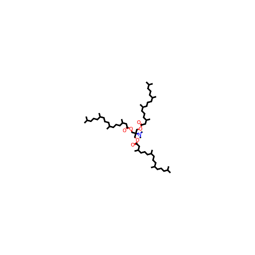 CC(C)CCCC(C)CCCC(C)CCCC(C)CC(=O)OCC(COC(=O)CC(C)CCCC(C)CCCC(C)CCCC(C)C)(COC(=O)CC(C)CCCC(C)CCCC(C)CCCC(C)C)N(C)C